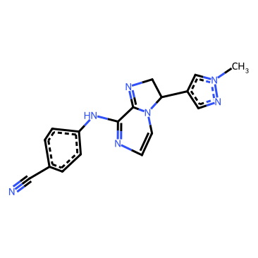 Cn1cc(C2CN=C3C(Nc4ccc(C#N)cc4)=NC=CN32)cn1